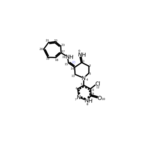 N=C1CCN(c2cn[nH]c(=O)c2Cl)C/C1=C/NC1=CC=CC=C=C1